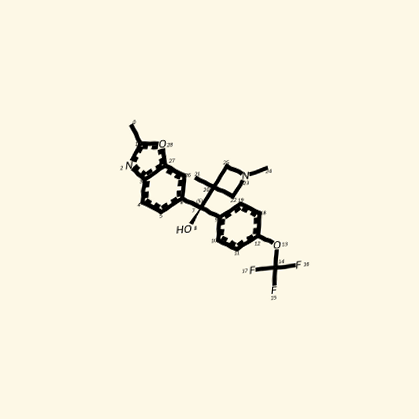 Cc1nc2ccc([C@@](O)(c3ccc(OC(F)(F)F)cc3)C3(C)CN(C)C3)cc2o1